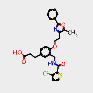 Cc1oc(-c2ccccc2)nc1CCOc1ccc(CCC(=O)O)cc1CNC(=O)c1sccc1Cl